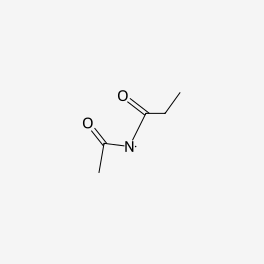 CCC(=O)[N]C(C)=O